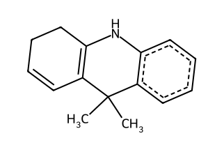 CC1(C)C2=C(CCC=C2)Nc2ccccc21